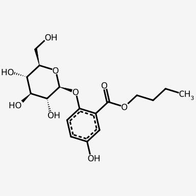 CCCCOC(=O)c1cc(O)ccc1O[C@@H]1O[C@H](CO)[C@@H](O)[C@H](O)[C@H]1O